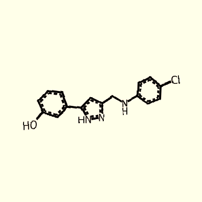 Oc1cccc(-c2cc(CNc3ccc(Cl)cc3)n[nH]2)c1